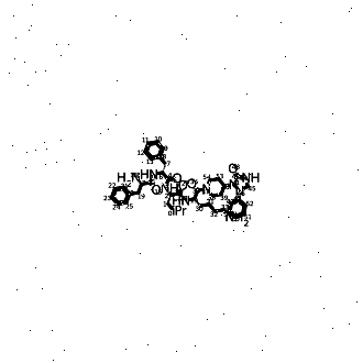 CC(C)C[C@@H](NC(=O)[C@@H](Cc1ccccc1)NC(=O)[C@H](N)Cc1ccccc1)C(=O)N[C@H](CCCCN)C(=O)N1CCC(N2C(=O)NCN2c2ccccc2)CC1